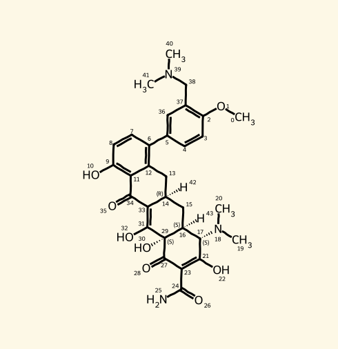 COc1ccc(-c2ccc(O)c3c2C[C@H]2C[C@H]4[C@H](N(C)C)C(O)=C(C(N)=O)C(=O)[C@@]4(O)C(O)=C2C3=O)cc1CN(C)C